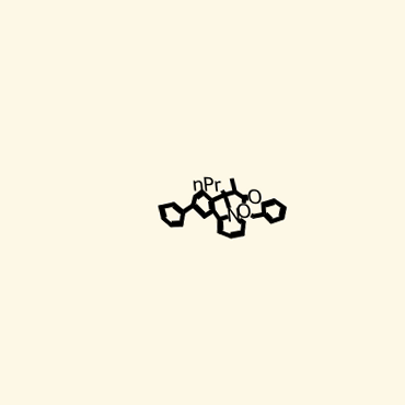 CCCC(C)(c1ccc(-c2ccccc2)cc1-c1ccccn1)C(C)C(=O)OCc1ccccc1